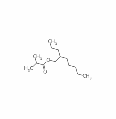 CCCCCC(CCC)COC(=O)C(C)C